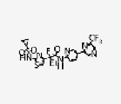 CCC(CC)(C(=O)Nc1ccc(-c2cncc(C(F)(F)F)n2)cn1)c1csc(NS(=O)(=O)C2CC2)n1